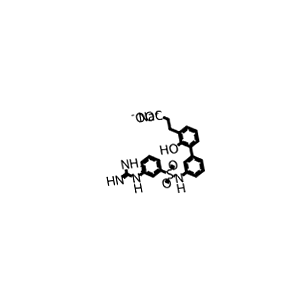 N=C(N)Nc1cccc(S(=O)(=O)Nc2cccc(-c3cccc(CCC(=O)[O-])c3O)c2)c1.[Na+]